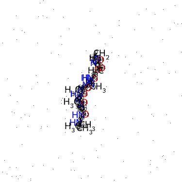 C=C1C[C@H]2C=Nc3cc(OCCCC(=O)Nc4cn(C)c(C(=O)Nc5cc(C(=O)Nc6cc(C(=O)n7ccc8cc(C(=O)NCCCNC(C)(C)C)ccc87)n(C)c6)n(C)c5)n4)c(OC)cc3C(=O)N2C1